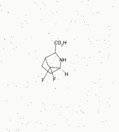 O=C(O)C1N[C@H]2CCC1CC2(F)F